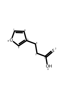 OC(=S)CCc1ccoc1